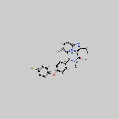 CCc1nc2ccc(Cl)cn2c1C(=O)N(C)Cc1ccc(Oc2ccc(F)cc2)cc1